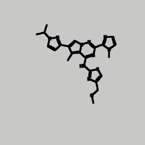 COCc1csc(Nc2nc(-c3nccn3C)nn3cc(-c4ccn(C(C)C)n4)c(C)c23)n1